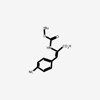 CC(C)(C)OC(=O)N/C(=C\c1ccc(C#N)cc1)C(=O)O